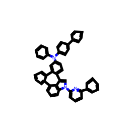 c1ccc(-c2ccc(N(c3ccccc3)c3ccc4c(c3)-c3ccccc3-c3cccc5c3c-4cn5-c3cccc(-c4ccccc4)n3)cc2)cc1